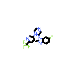 Cc1nc2ccc(F)cc2n1C1C=NC=CN1c1ccc(C(F)(F)F)nc1